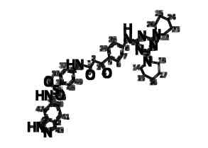 O=C(CC(=O)c1ccc(Nc2nc(N3CCCCC3)nc(N3CCCCC3)n2)cc1)Nc1ccc(S(=O)(=O)Nc2ccc3cn[nH]c3c2)cc1